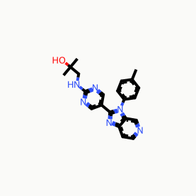 Cc1ccc(-n2c(-c3cnc(NCC(C)(C)O)nc3)nc3ccncc32)cc1